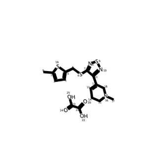 Cc1ccc(CSc2nsnc2C2=CCCN(C)C2)s1.O=C(O)C(=O)O